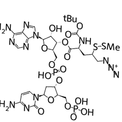 CSSC(CN=[N+]=[N-])C[C@H](NC(=O)OC(C)(C)C)C(=O)O[C@H]1[C@@H](O)[C@H](n2cnc3c(N)ncnc32)O[C@@H]1COP(=O)(O)O[C@H]1C[C@H](n2ccc(N)nc2=O)O[C@@H]1COP(=O)(O)O